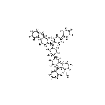 Cc1ncccc1-n1c2ccccc2c2cc(-c3ccc(N(c4ccc(-c5ccccc5)cc4)c4ccc5c(c4)sc4ccccc45)cc3)ccc21